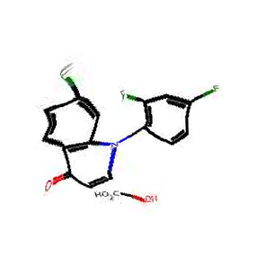 O=C(O)O.O=c1ccn(-c2ccc(F)cc2F)c2cc(F)ccc12